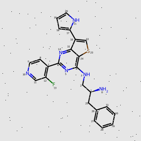 N[C@H](CNc1nc(-c2ccncc2F)nc2c(-c3ccc[nH]3)csc12)Cc1ccccc1